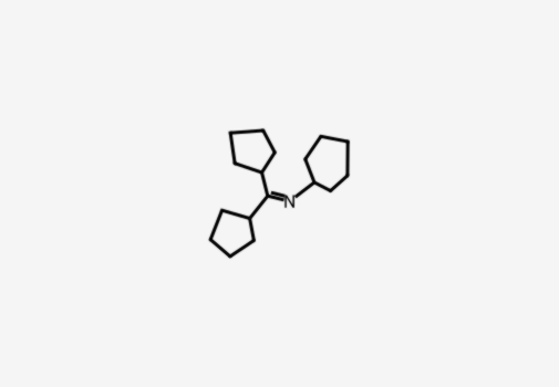 C1CCC(N=C(C2CCCC2)C2CCCC2)CC1